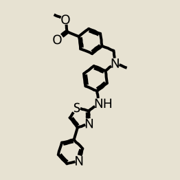 COC(=O)c1ccc(CN(C)c2cccc(Nc3nc(-c4cccnc4)cs3)c2)cc1